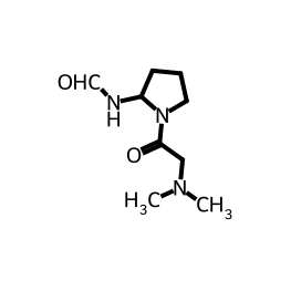 CN(C)CC(=O)N1CCCC1NC=O